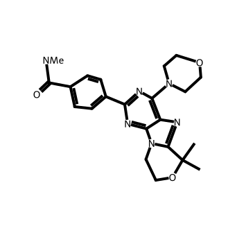 CNC(=O)c1ccc(-c2nc(N3CCOCC3)c3nc4n(c3n2)CCOC4(C)C)cc1